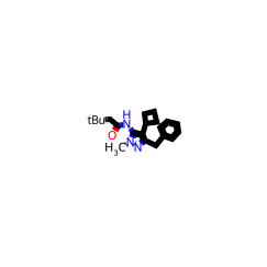 Cn1nc(Cc2ccccc2)c(C2CCC2)c1NC(=O)CC(C)(C)C